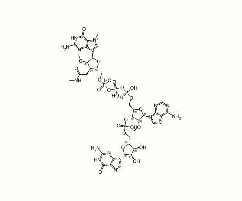 CNC(=O)C[C@@H]1[C@@H](COP(=O)(O)OP(=O)(O)OP(=O)(O)OC[C@H]2O[C@@H](n3cnc4c(N)ncnc43)[C@H](OC)[C@@H]2OP(=O)(O)OC[C@H]2O[C@@H](n3cnc4c(=O)[nH]c(N)nc43)[C@H](O)[C@@H]2O)OC(n2c[n+](C)c3c(=O)[nH]c(N)nc32)[C@@H]1OC